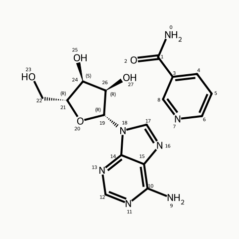 NC(=O)c1cccnc1.Nc1ncnc2c1ncn2[C@@H]1O[C@H](CO)[C@@H](O)[C@H]1O